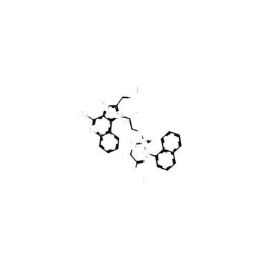 CCOCc1nc2c(N)nc3ccccc3c2n1[C@@H](COP(=O)(N[C@H](C(=O)OC(C)(C)C)C(C)C)Oc1cccc2ccccc12)C(C)C